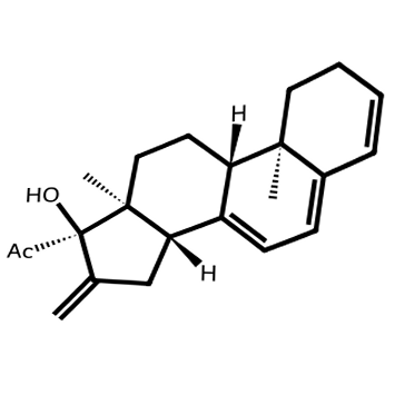 C=C1C[C@H]2C3=CC=C4C=CCC[C@]4(C)[C@H]3CC[C@]2(C)[C@@]1(O)C(C)=O